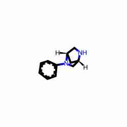 c1ccc(N2C[C@@H]3C[C@H]2CN3)cc1